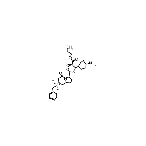 CCCOC(=O)C(=O)C(NC(=O)C1CCC2CN(S(=O)(=O)Cc3ccccc3)CC(=O)N21)C1CCC(N)CC1